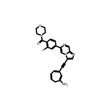 NC1=CC(C#Cc2cnc3cnc(-c4ccc(C(=O)N5CCOCC5)c(F)c4)cn23)=CC=CC1